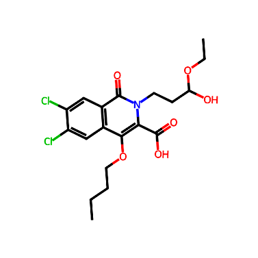 CCCCOc1c(C(=O)O)n(CCC(O)OCC)c(=O)c2cc(Cl)c(Cl)cc12